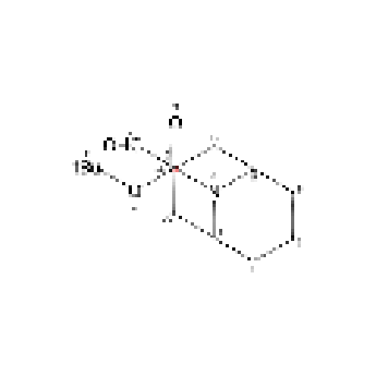 CC(C)(C)OC(=O)N1C2CCCC1CC(C=O)C2